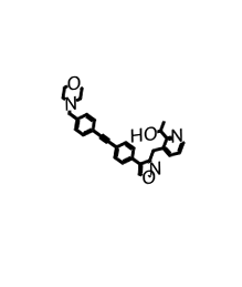 CC(O)c1ncccc1Cc1nocc1-c1ccc(C#Cc2ccc(CN3CCOCC3)cc2)cc1